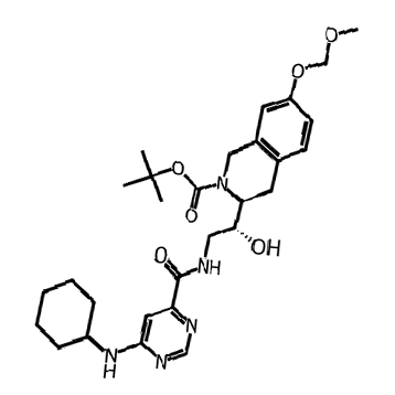 COCOc1ccc2c(c1)CN(C(=O)OC(C)(C)C)[C@H]([C@H](O)CNC(=O)c1cc(NC3CCCCC3)ncn1)C2